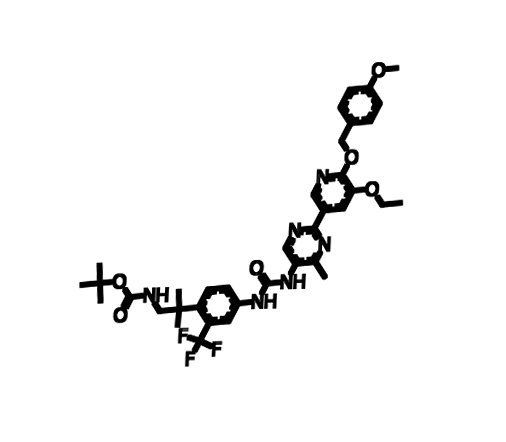 CCOc1cc(-c2ncc(NC(=O)Nc3ccc(C(C)(C)CNC(=O)OC(C)(C)C)c(C(F)(F)F)c3)c(C)n2)cnc1OCc1ccc(OC)cc1